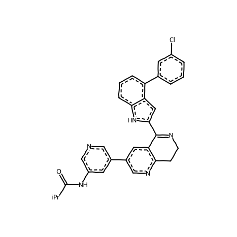 CC(C)C(=O)Nc1cncc(-c2cnc3c(c2)C(c2cc4c(-c5cccc(Cl)c5)cccc4[nH]2)=NCC3)c1